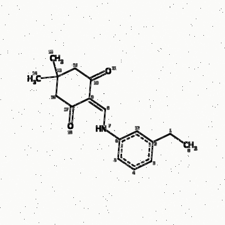 CCc1cccc(NC=C2C(=O)CC(C)(C)CC2=O)c1